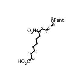 CCCCCC=C=CCC(CCCCCCCC(=O)O)[N+](=O)[O-]